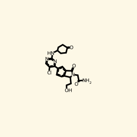 NC(=O)CN1C(=O)c2cc(-c3nc(NC4CCC(=O)CC4)ncc3Cl)ccc2C1CCO